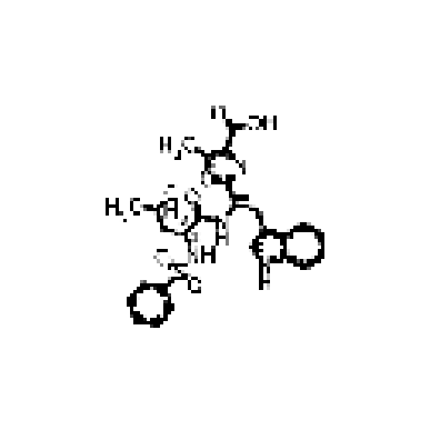 Cc1oc([C@@H](Cc2c[nH]c3ccccc23)NC(=O)[C@H](CC(C)C)NS(=O)(=O)c2ccccc2)nc1C(=O)O